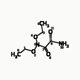 CCON(OCC)C(=O)C(N)=O